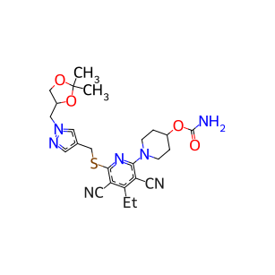 CCc1c(C#N)c(SCc2cnn(CC3COC(C)(C)O3)c2)nc(N2CCC(OC(N)=O)CC2)c1C#N